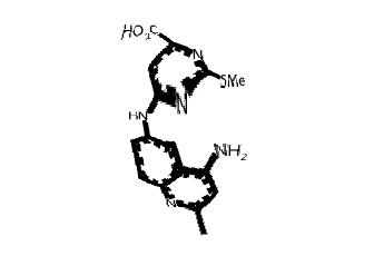 CSc1nc(Nc2ccc3nc(C)cc(N)c3c2)cc(C(=O)O)n1